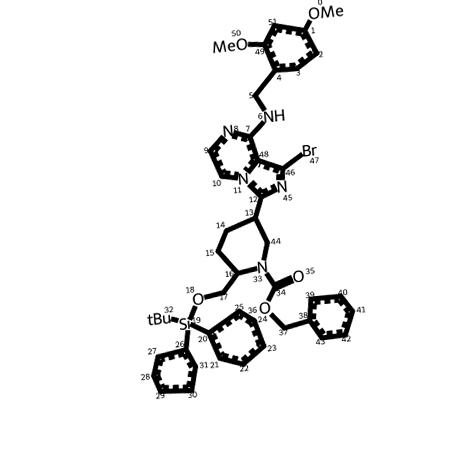 COc1ccc(CNc2nccn3c(C4CCC(CO[Si](c5ccccc5)(c5ccccc5)C(C)(C)C)N(C(=O)OCc5ccccc5)C4)nc(Br)c23)c(OC)c1